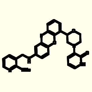 CNc1ncccc1CNc1ccc2c(c1)Sc1cccc(C3CN(c4ccc[nH]c4=O)CCO3)c1O2